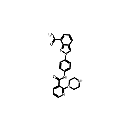 NC(=O)c1cccc2cn(-c3ccc(NC(=O)c4cccnc4N4CCNCC4)cc3)nc12